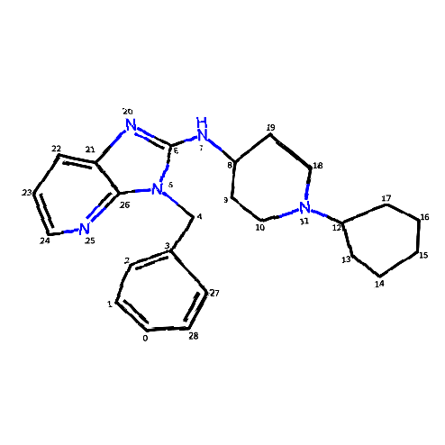 c1ccc(Cn2c(NC3CCN(C4CCCCC4)CC3)nc3cccnc32)cc1